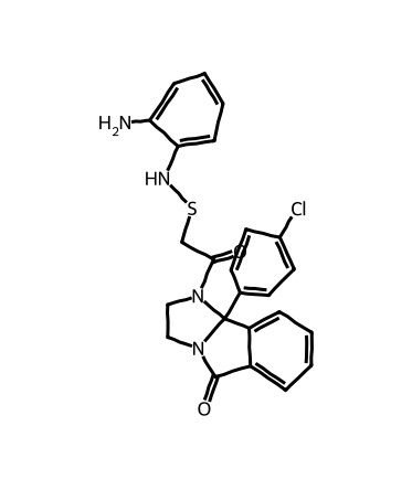 Nc1ccccc1NSCC(=O)N1CCN2C(=O)c3ccccc3C12c1ccc(Cl)cc1